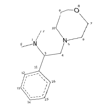 CN(C)C(CN1CCOCC1)c1ccccc1